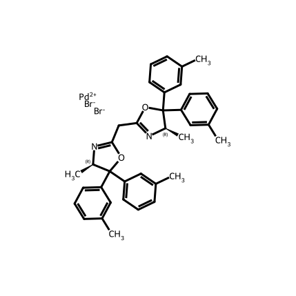 Cc1cccc(C2(c3cccc(C)c3)OC(CC3=N[C@H](C)C(c4cccc(C)c4)(c4cccc(C)c4)O3)=N[C@@H]2C)c1.[Br-].[Br-].[Pd+2]